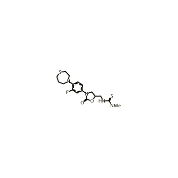 CNC(=S)NCC1CN(c2ccc(N3CCCSCC3)c(F)c2)C(=O)O1